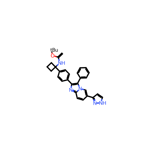 C=C(NC1(c2ccc(-c3nc4ccc(-c5cc[nH]n5)cn4c3-c3ccccc3)cc2)CCC1)OC(C)(C)C